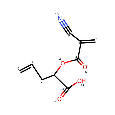 C=CCC(OC(=O)C(=C)C#N)C(=O)O